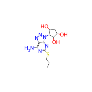 CCCSc1nc(N)c2nnn([C@H]3C(O)C[C@@H](O)[C@H]3O)c2n1